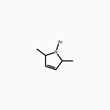 CC(=O)N1C(C)C=CC1C